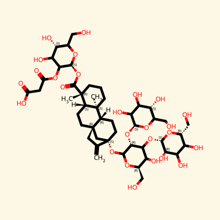 C=C1C[C@@]23CC[C@H]4[C@@](C)(CCC[C@@]4(C)C(=O)O[C@@H]4OC(CO)[C@@H](O)C(O)C4OC(=O)CC(=O)O)[C@@H]2CC[C@]1(OC1O[C@H](CO)C(O)C(O[C@@H]2O[C@H](CO)C(O)C(O)[C@H]2O)[C@H]1O[C@@H]1OC(CO)[C@@H](O)C(O)C1O)C3